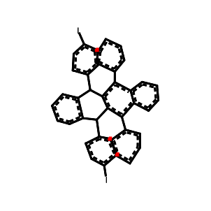 Ic1ccc(C2c3ccccc3C(c3ccc(I)cc3)c3c2c(-c2ccccc2)c2ccccc2c3-c2ccccc2)cc1